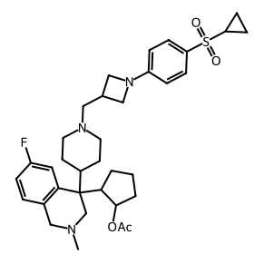 CC(=O)OC1CCCC1C1(C2CCN(CC3CN(c4ccc(S(=O)(=O)C5CC5)cc4)C3)CC2)CN(C)Cc2ccc(F)cc21